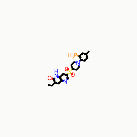 CCc1cc2ncc(S(=O)(=O)C3CCN(c4ccc(C)cc4P)CC3)cc2[nH]c1=O